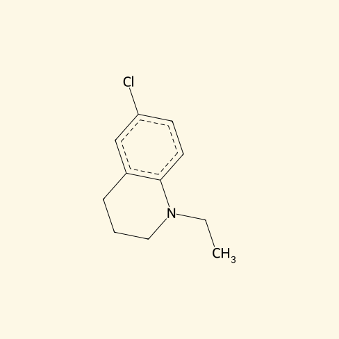 CCN1CCCc2cc(Cl)ccc21